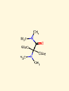 COC(OC)(C(=O)N(C)C)N(C)C